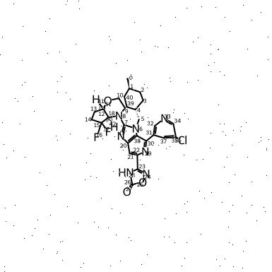 C[C@H]1CC[C@H](Cn2c(N3CCO[C@H]4CCC(F)(F)[C@@H]43)nc3cc(-c4noc(=O)[nH]4)nc(-c4cncc(Cl)c4)c32)CC1